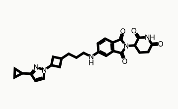 O=C1CCC(N2C(=O)c3ccc(NCCCC4CC(n5ccc(C6CC6)n5)C4)cc3C2=O)C(=O)N1